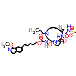 C=CC(=O)N1CC=C=C[C@@H]2C[C@@]2(C(=O)NS(=O)(=O)C2CC2)NC(=O)[C@@H]2CCCN2C(=O)[C@@H](NC(=O)OCCC/C=C/c2ccc3ccnc(OC)c3c2)C1